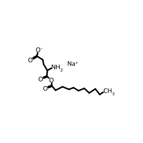 CCCCCCCCCCC(=O)OC(=O)C(N)CCC(=O)[O-].[Na+]